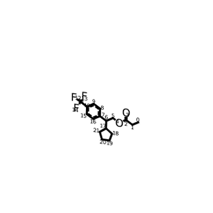 CCC(=O)OCC(c1ccc(C(F)(F)F)cc1)C1CCCC1